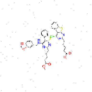 COC(=O)CCCCc1nc(Cl)c2c(n1)sc1ccccc12.COC(=O)CCCCc1nc(NCc2ccc3c(c2)OCO3)c2c(n1)sc1ccccc12